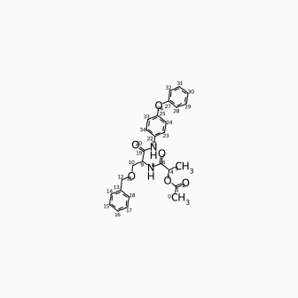 CC(=O)OC(C)C(=O)NC(COCc1ccccc1)C(=O)Nc1ccc(Oc2ccccc2)cc1